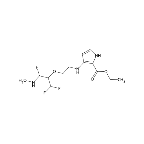 CCOC(=O)c1[nH]ccc1NCCOC(C(F)F)C(F)NC